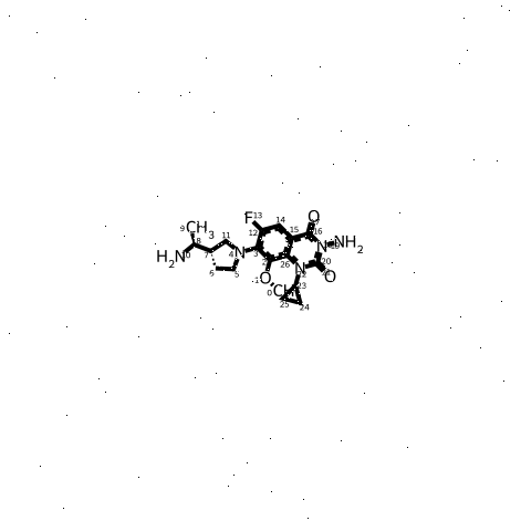 COc1c(N2CC[C@H]([C@H](C)N)C2)c(F)cc2c(=O)n(N)c(=O)n(C3CC3)c12